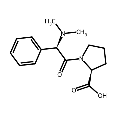 CN(C)[C@@H](C(=O)N1CCC[C@H]1C(=O)O)c1ccccc1